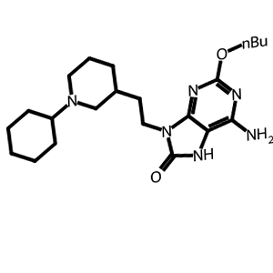 CCCCOc1nc(N)c2[nH]c(=O)n(CCC3CCCN(C4CCCCC4)C3)c2n1